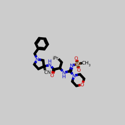 CC(C)CC(NC(=NS(C)(=O)=O)N1CCOCC1)C(=O)NC1(C#N)CCN(Cc2ccccc2)C1